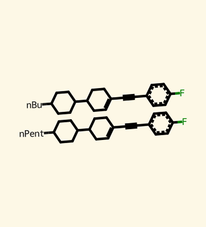 CCCCC1CCC(C2CC=C(C#Cc3ccc(F)cc3)CC2)CC1.CCCCCC1CCC(C2CC=C(C#Cc3ccc(F)cc3)CC2)CC1